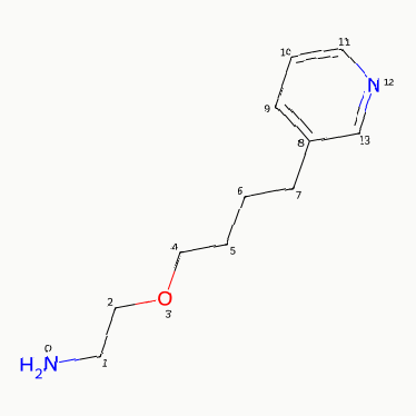 NCCOCCCCc1cccnc1